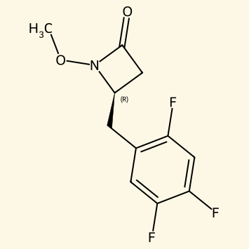 CON1C(=O)C[C@H]1Cc1cc(F)c(F)cc1F